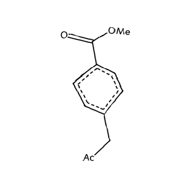 COC(=O)c1ccc(CC(C)=O)cc1